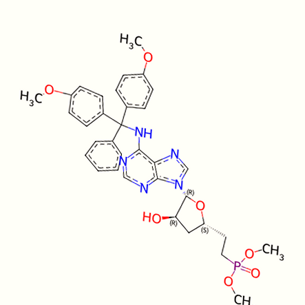 COc1ccc(C(Nc2ncnc3c2ncn3[C@@H]2O[C@H](CCP(=O)(OC)OC)C[C@H]2O)(c2ccccc2)c2ccc(OC)cc2)cc1